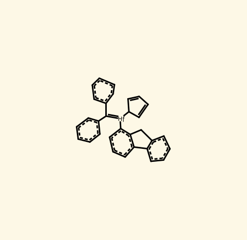 C1=C[CH]([Hf](=[C](c2ccccc2)c2ccccc2)[c]2cccc3c2Cc2ccccc2-3)C=C1